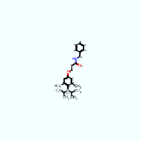 Cc1cc(OCCC(=O)NCc2ccccc2)cc(C)c1[SiH](C(C)C)C(C)C